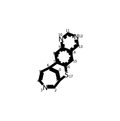 C1=C2C=NC=CC=1c1cc3ncncc3cc1S2